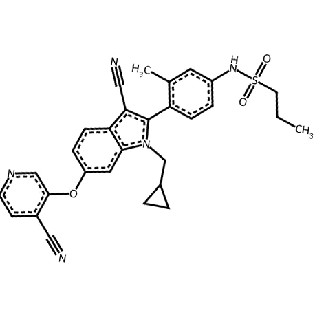 CCCS(=O)(=O)Nc1ccc(-c2c(C#N)c3ccc(Oc4cnccc4C#N)cc3n2CC2CC2)c(C)c1